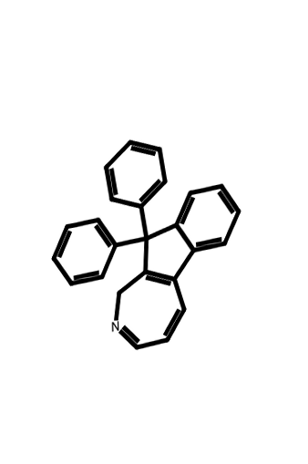 C1=CC2=C(CN=C1)C(c1ccccc1)(c1ccccc1)c1ccccc12